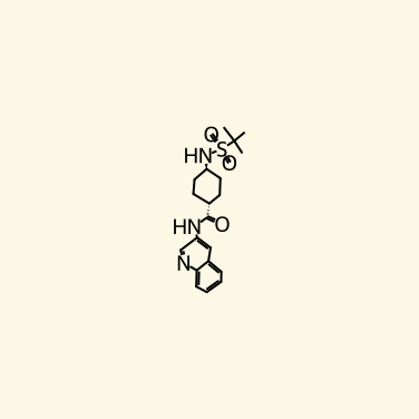 CC(C)(C)S(=O)(=O)N[C@H]1CC[C@H](C(=O)Nc2cnc3ccccc3c2)CC1